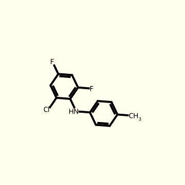 Cc1ccc(Nc2c(F)cc(F)cc2Cl)cc1